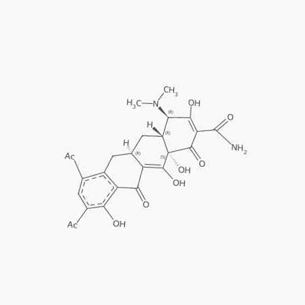 CC(=O)c1cc(C(C)=O)c2c(c1O)C(=O)C1=C(O)[C@]3(O)C(=O)C(C(N)=O)=C(O)[C@H](N(C)C)[C@H]3C[C@@H]1C2